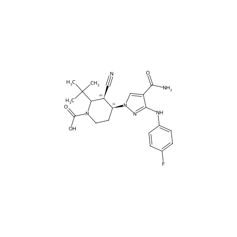 CC(C)(C)C1[C@@H](C#N)[C@@H](n2cc(C(N)=O)c(Nc3ccc(F)cc3)n2)CCN1C(=O)O